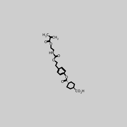 C=C(C)C(=O)OCCNC(=O)OCCc1ccc(OC(=O)[C@H]2CC[C@H](C(=O)O)CC2)cc1